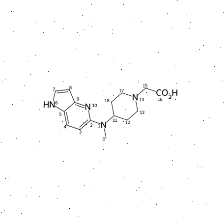 CN(c1ccc2[nH]ccc2n1)C1CCN(CC(=O)O)CC1